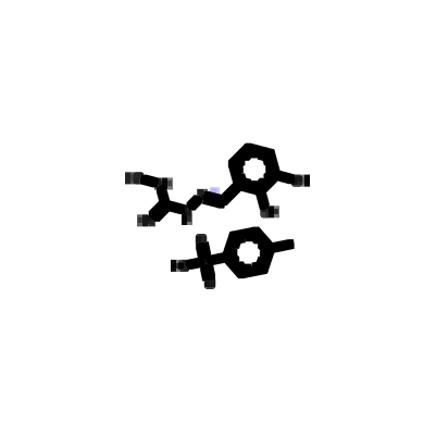 Cc1ccc(S(=O)(=O)O)cc1.N=C(NO)N/N=C/c1cccc(O)c1O